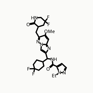 CCn1nccc1C(=O)NC(c1cn2nc(CC3CC(F)(F)CNC3=O)c(OC)cc2n1)C1CCC(F)(F)CC1